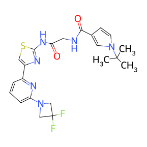 CC(C)(C)n1ccc(C(=O)NCC(=O)Nc2nc(-c3cccc(N4CC(F)(F)C4)n3)cs2)c1